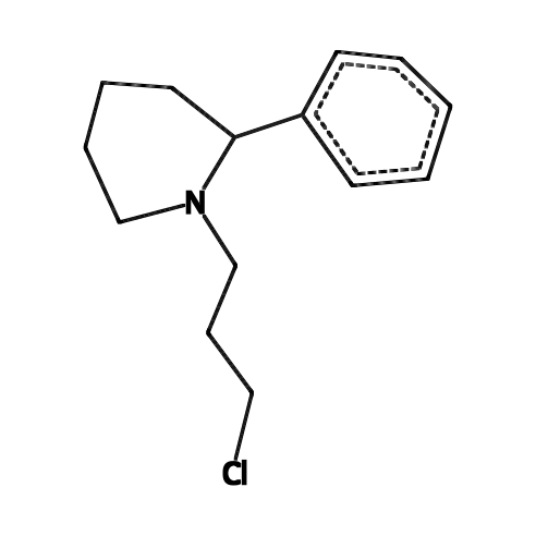 ClCCCN1CCCCC1c1ccccc1